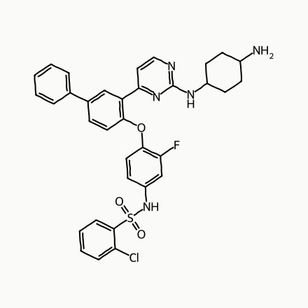 NC1CCC(Nc2nccc(-c3cc(-c4ccccc4)ccc3Oc3ccc(NS(=O)(=O)c4ccccc4Cl)cc3F)n2)CC1